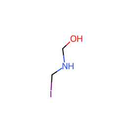 OCNCI